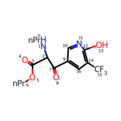 CCCNC(C(=O)OCCC)C(=O)c1cnc(O)c(C(F)(F)F)c1